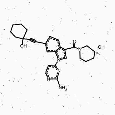 Nc1nccc(-n2cc(C(=O)N3CCC[C@@H](O)C3)c3ccc(C#CC4(O)CCCCC4)cc32)n1